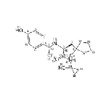 CC1(C[C@H](N[C@H](c2ccc(O)cc2)C(F)(F)F)C(=O)NC2(C#N)CC2)CCCC1